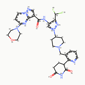 O=C1CCC(c2ncccc2CN2CCC(n3cc(NC(=O)c4cnn5ccc(N6CCOCC6)nc45)c(C(F)F)n3)CC2)C(=O)N1